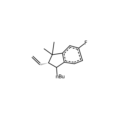 C=C[C@H]1C(CCCC)c2ccc(F)cc2C1(C)C